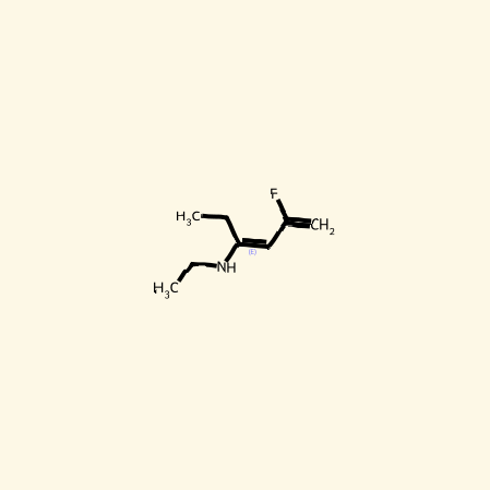 C=C(F)/C=C(\CC)NCC